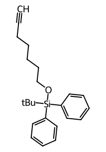 C#CCCCCCO[Si](c1ccccc1)(c1ccccc1)C(C)(C)C